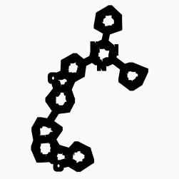 c1ccc(-c2nc(-c3ccccc3)nc(-c3ccc4oc5cc(-c6ccc7ccc8oc9ccccc9c8c7c6)ccc5c4c3)n2)cc1